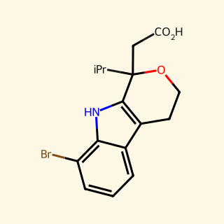 CC(C)C1(CC(=O)O)OCCc2c1[nH]c1c(Br)cccc21